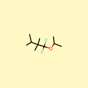 CC(C)OC(F)(F)C(C)(C)C(C)C